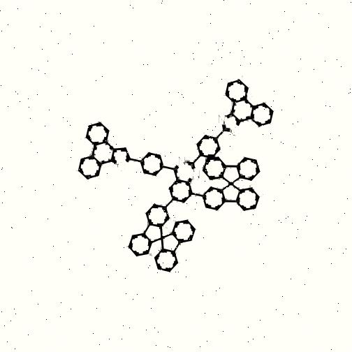 c1ccc2c(c1)-c1ccccc1C21c2ccccc2-c2ccc(-c3cc(-c4ccc5c(c4)C4(c6ccccc6-c6ccccc64)c4ccccc4-5)c4nc(-c5ccc(-c6nc7c8ccccc8c8ccccc8c7o6)cc5)nc(-c5ccc(-c6cc7c8ccccc8c8ccccc8c7o6)cc5)c4c3)cc21